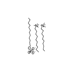 CCCCCCCCCCCCOP(=O)([O-])[O-].CCCCCCCCCC[N+](C)(C)C.CCCCCCCCCC[N+](C)(C)C